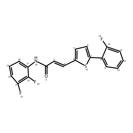 O=C(C=Cc1ccc(-c2ccccc2F)s1)Nc1cccc(F)c1F